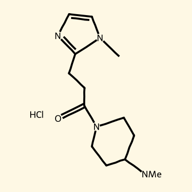 CNC1CCN(C(=O)CCc2nccn2C)CC1.Cl